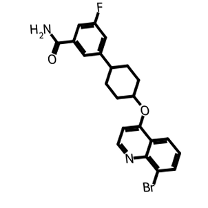 NC(=O)c1cc(F)cc(C2CCC(Oc3ccnc4c(Br)cccc34)CC2)c1